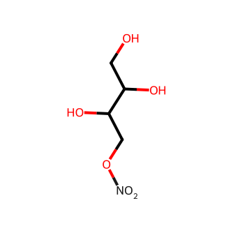 O=[N+]([O-])OCC(O)C(O)CO